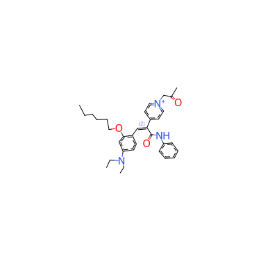 CCCCCCOc1cc(N(CC)CC)ccc1/C=C(\C(=O)Nc1ccccc1)c1cc[n+](CC(C)=O)cc1